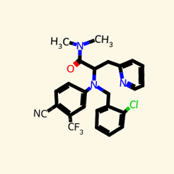 CN(C)C(=O)C(Cc1ccccn1)N(Cc1ccccc1Cl)c1ccc(C#N)c(C(F)(F)F)c1